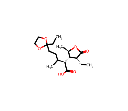 CC[C@H]1C(=O)O[C@H](C)[C@H]1[C@@H](C(=O)O)C(C)CCC1(CC)OCCO1